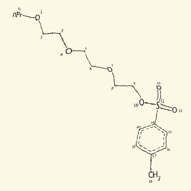 CCCOCCOCCOCCOS(=O)(=O)c1ccc(C)cc1